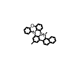 Cc1cc2c3c(c1)N1c4ccccc4Oc4cccc(c41)B3N(C)c1c-2ccc2ccccc12